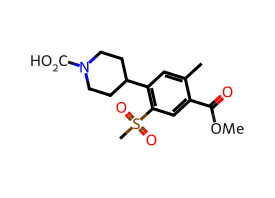 COC(=O)c1cc(S(C)(=O)=O)c(C2CCN(C(=O)O)CC2)cc1C